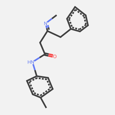 C/N=C(/CC(=O)Nc1ccc(C)cc1)Cc1ccccc1